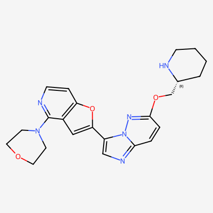 c1cc2oc(-c3cnc4ccc(OC[C@H]5CCCCN5)nn34)cc2c(N2CCOCC2)n1